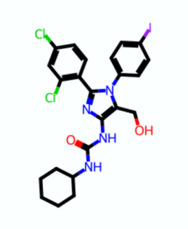 O=C(Nc1nc(-c2ccc(Cl)cc2Cl)n(-c2ccc(I)cc2)c1CO)NC1CCCCC1